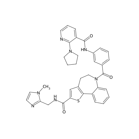 Cn1ccnc1CNC(=O)c1cc2c(s1)-c1ccccc1N(C(=O)c1cccc(NC(=O)c3cccnc3N3CCCC3)c1)CC2